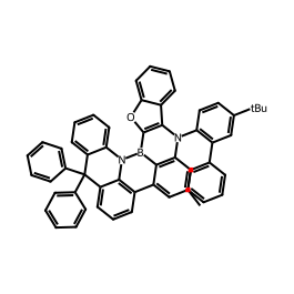 Cc1cc2c3c(c1)N(c1ccc(C(C)(C)C)cc1-c1ccccc1)c1c(oc4ccccc14)B3N1c3ccccc3C(c3ccccc3)(c3ccccc3)c3cccc-2c31